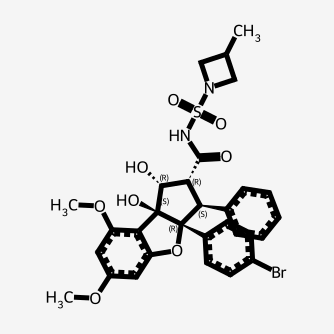 COc1cc(OC)c2c(c1)O[C@@]1(c3ccc(Br)cc3)[C@H](c3ccccc3)[C@@H](C(=O)NS(=O)(=O)N3CC(C)C3)[C@@H](O)[C@@]21O